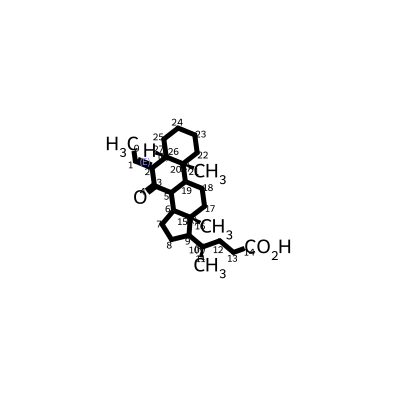 C/C=C1/C(=O)C2C3CCC([C@H](C)CCC(=O)O)[C@@]3(C)CCC2[C@@]2(C)CCCC[C@@H]12